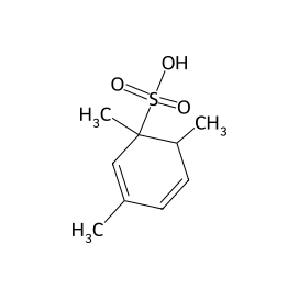 CC1=CC(C)(S(=O)(=O)O)C(C)C=C1